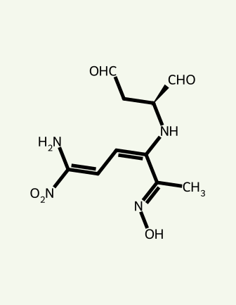 CC(=N\O)/C(=C\C=C(/N)[N+](=O)[O-])N[C@H](C=O)CC=O